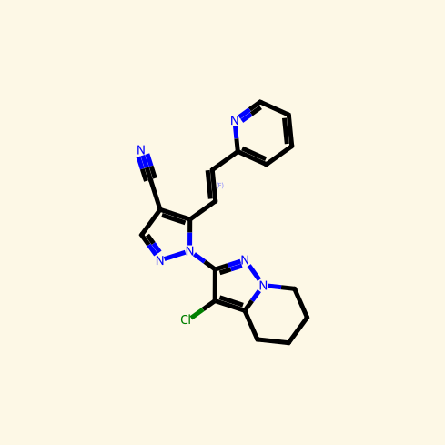 N#Cc1cnn(-c2nn3c(c2Cl)CCCC3)c1/C=C/c1ccccn1